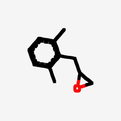 Cc1cccc(C)c1CC1CO1